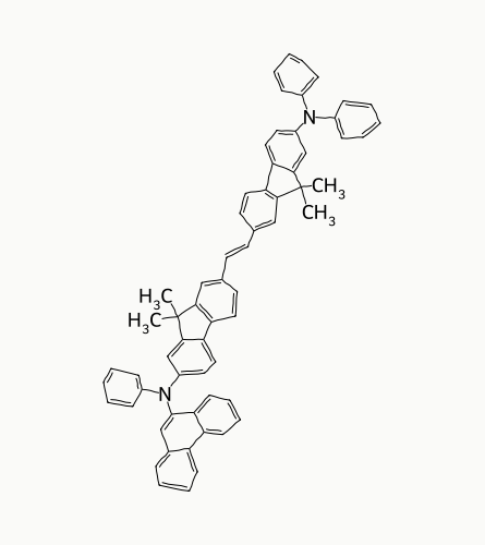 CC1(C)c2cc(/C=C/c3ccc4c(c3)C(C)(C)c3cc(N(c5ccccc5)c5cc6ccccc6c6ccccc56)ccc3-4)ccc2-c2ccc(N(c3ccccc3)c3ccccc3)cc21